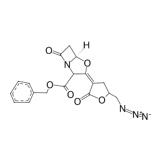 [N-]=[N+]=NCC1C/C(=C2\O[C@@H]3CC(=O)N3C2C(=O)OCc2ccccc2)C(=O)O1